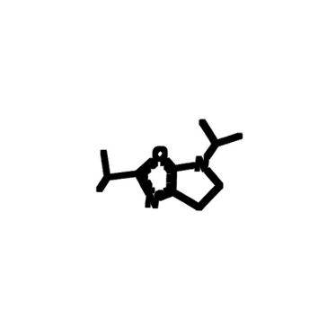 CC(C)c1nc2c(o1)N(C(C)C)CC2